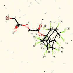 O=C(CBr)OCC(=O)OC12C(F)(F)C3(F)C(F)(F)C(F)(C(F)(F)C(F)(C3(F)F)C1(F)F)C2(F)F